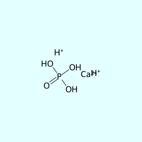 O=P(O)(O)O.[Ca+2].[H+].[H+]